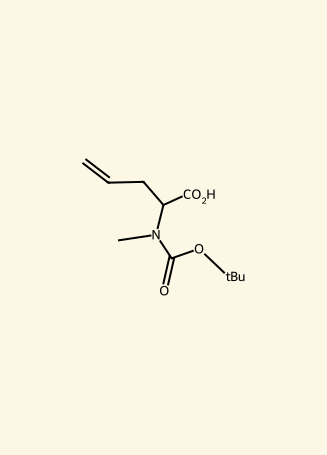 C=CCC(C(=O)O)N(C)C(=O)OC(C)(C)C